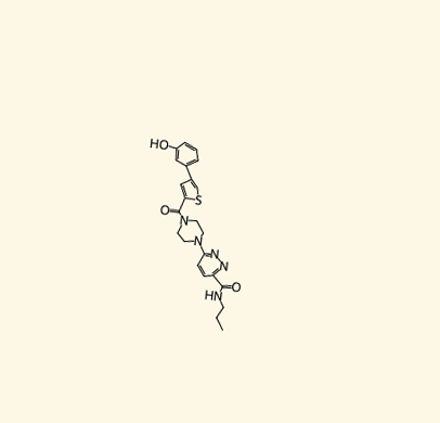 CCCNC(=O)c1ccc(N2CCN(C(=O)c3cc(-c4cccc(O)c4)cs3)CC2)nn1